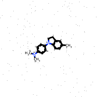 Cc1ccc2c(c1)CCN2c1ccc(N(C)C)cc1